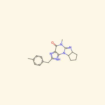 Cc1ccc(Cc2nc3c([nH]2)N2C(=NC4CCCC42)N(C)C3=O)cc1